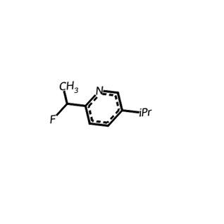 CC(C)c1ccc(C(C)F)nc1